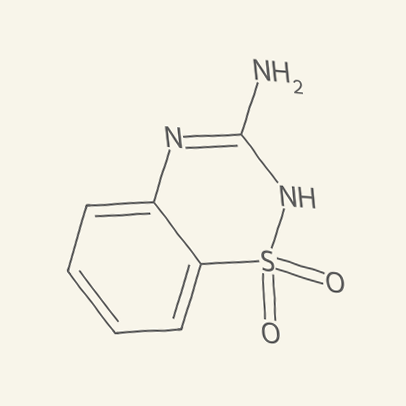 NC1=Nc2ccccc2S(=O)(=O)N1